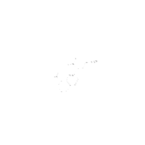 CCC(=O)N(CCC#N)c1ccc2c(c1)N(C(C)=O)CCO2